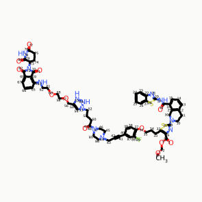 COCOC(=O)c1nc(N2CCc3cccc(C(=O)Nc4nc5ccccc5s4)c3C2)sc1CCCOc1ccc(C#CCN2CCN(C(=O)CCCN3C=C(COCCOCCNc4cccc5c4C(=O)N(C4CCC(=O)NC4=O)C5=O)NN3)CC2)cc1F